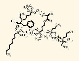 C=C(C)C(=O)OCCC[Si](OC)(OC)OC.C=CN(Cc1ccccc1)N(CC)CCC[Si](OC)(OC)OC.CCCCCCCC[Si](OC)(OC)OC.CCC[Si](OC)(OC)OC.CO[Si](CCCS)(OC)OC